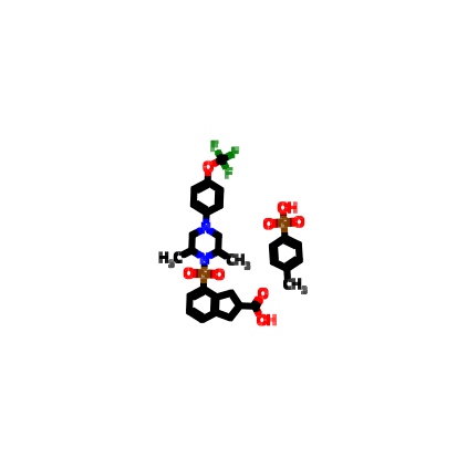 CC1CN(c2ccc(OC(F)(F)F)cc2)CC(C)N1S(=O)(=O)c1cccc2c1CC(C(=O)O)C2.Cc1ccc(S(=O)(=O)O)cc1